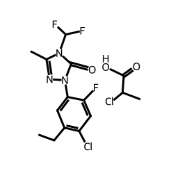 CC(Cl)C(=O)O.CCc1cc(-n2nc(C)n(C(F)F)c2=O)c(F)cc1Cl